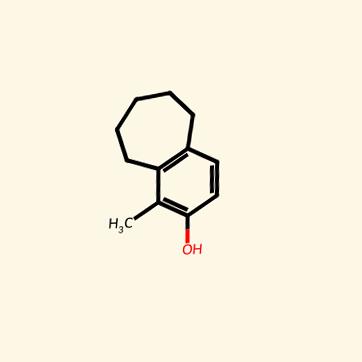 Cc1c(O)ccc2c1CCCCC2